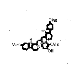 COc1ccc2c3c([nH]c2c1)C(CC(CC1=NCCc2c1[nH]c1cc(OC)ccc21)c1ccc(O)c(OC)c1)=NCC3